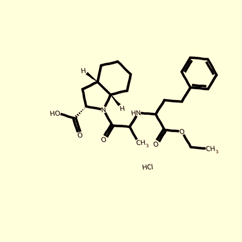 CCOC(=O)C(CCc1ccccc1)NC(C)C(=O)N1[C@H](C(=O)O)C[C@@H]2CCCC[C@@H]21.Cl